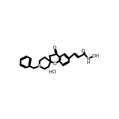 Cl.O=C(C=Cc1ccc2c(c1)C(=O)CC1(CCN(Cc3ccccc3)CC1)O2)NO